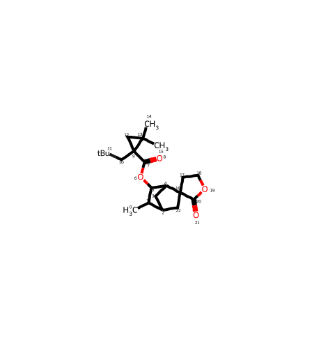 CC1C2CC(C1OC(=O)C1(CC(C)(C)C)CC1(C)C)C1(CCOC1=O)C2